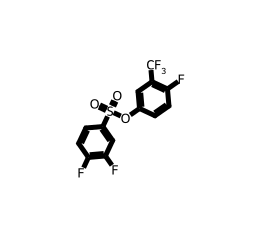 O=S(=O)(Oc1ccc(F)c(C(F)(F)F)c1)c1ccc(F)c(F)c1